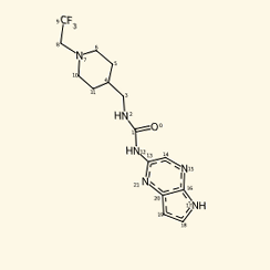 O=C(NCC1CCN(CC(F)(F)F)CC1)Nc1cnc2[nH]ccc2n1